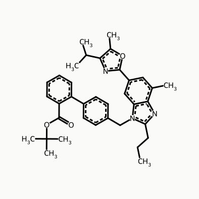 CCCc1nc2c(C)cc(-c3nc(C(C)C)c(C)o3)cc2n1Cc1ccc(-c2ccccc2C(=O)OC(C)(C)C)cc1